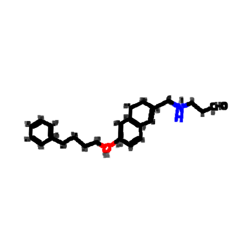 O=CCCNCC1=Cc2ccc(OCCCCc3ccccc3)cc2CC1